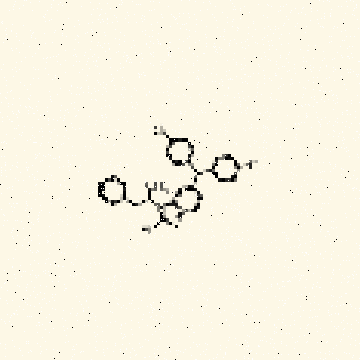 CCc1nc2ccc(C(c3ccc(Cl)cc3)c3ccc(Cl)cc3)cc2n1C(C)Cc1ccccc1